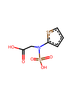 O=C(O)CN(c1cccs1)S(=O)(=O)O